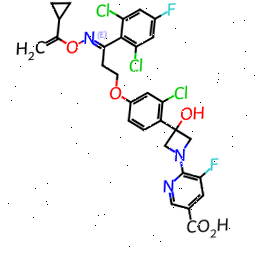 C=C(O/N=C(\CCOc1ccc(C2(O)CN(c3ncc(C(=O)O)cc3F)C2)c(Cl)c1)c1c(Cl)cc(F)cc1Cl)C1CC1